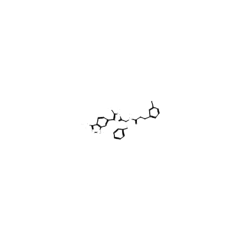 Cc1cccc(CCC(=O)N[C@@H](Cc2ccccc2)c2nc(-c3ccc4c(N)n[nH]c4c3)c(Cl)[nH]2)c1